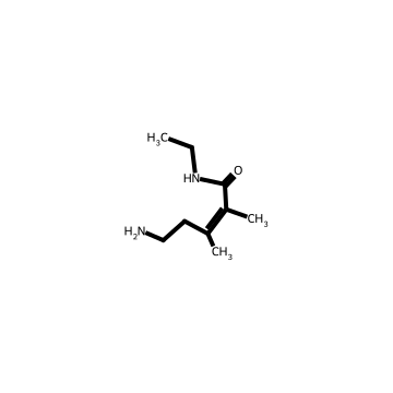 CCNC(=O)C(C)=C(C)CCN